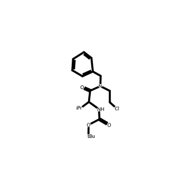 CC(C)C(NC(=O)OC(C)(C)C)C(=O)N(CCCl)Cc1ccccc1